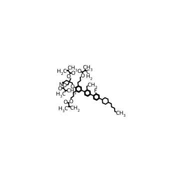 C=C(C)C(=O)OCCCc1cc(-c2ccc(-c3ccc(C4CCC(CCCCC)CC4)cc3F)cc2CC)cc(CCCOC(=O)C(=C)C)c1OCC(CC#N)(COC(=O)C(=C)C)COC(=O)C(=C)C